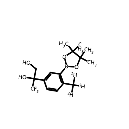 [2H]C([2H])([2H])c1ccc(C(O)(CO)C(F)(F)F)cc1B1OC(C)(C)C(C)(C)O1